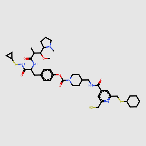 COC(C(C)C(=O)NC(Cc1ccc(OC(=O)N2CCC(CNC(=O)c3cc(CS)nc(CSC4CCCCC4)c3)CC2)cc1)C(=O)NSC1CC1)C1CCCN1C